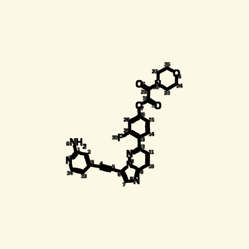 Nc1cc(C#Cc2cnc3ccc(-c4ccc(OC(=O)C(=O)N5CCOCC5)cc4F)nn23)ccn1